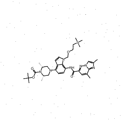 Cc1cn2nc(C(=O)Nc3ccc(N4C[C@@H](C)N(C(=O)OC(C)(C)C)[C@@H](C)C4)c4ccn(COCC[Si](C)(C)C)c34)cc(C)c2n1